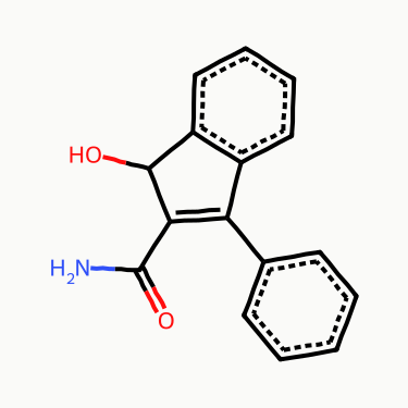 NC(=O)C1=C(c2ccccc2)c2ccccc2C1O